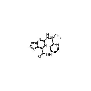 C[C@H](Nc1nc(C(=O)O)c2sccc2n1)c1ccccn1